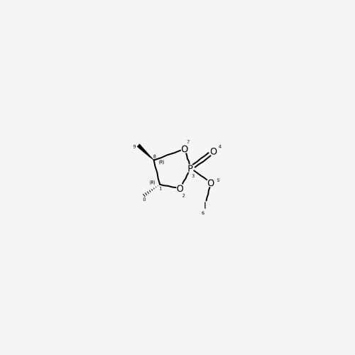 C[C@H]1OP(=O)(OI)O[C@@H]1C